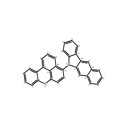 c1ccc2c(c1)Sc1ccc(-n3c4ccccc4c4cc5ccccc5cc43)c3cccc-2c13